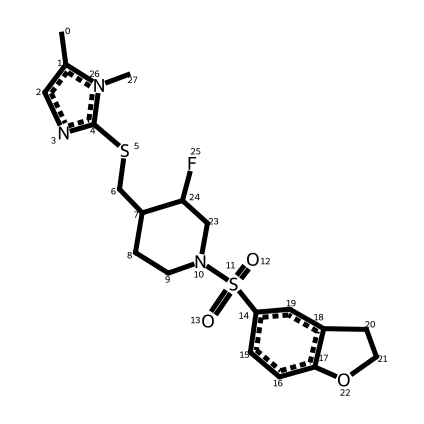 Cc1cnc(SCC2CCN(S(=O)(=O)c3ccc4c(c3)CCO4)CC2F)n1C